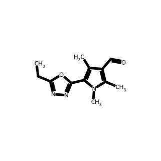 CCc1nnc(-c2c(C)c(C=O)c(C)n2C)o1